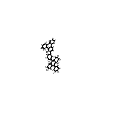 c1ccc(-c2ccc3c(sc4ccc(-c5c6ccccc6c(-c6ccccc6)c6ccccc56)cc43)c2-c2ccccc2)cc1